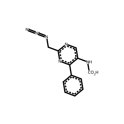 [N-]=[N+]=NCc1ncc(NC(=O)O)c(-c2ccccc2)n1